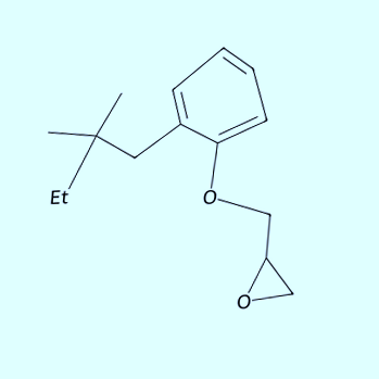 CCC(C)(C)Cc1ccccc1OCC1CO1